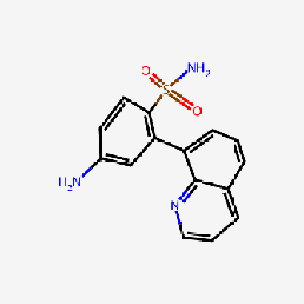 Nc1ccc(S(N)(=O)=O)c(-c2cccc3cccnc23)c1